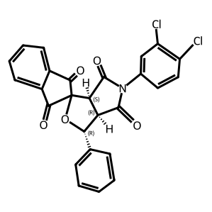 O=C1[C@H]2[C@H](c3ccccc3)OC3(C(=O)c4ccccc4C3=O)[C@H]2C(=O)N1c1ccc(Cl)c(Cl)c1